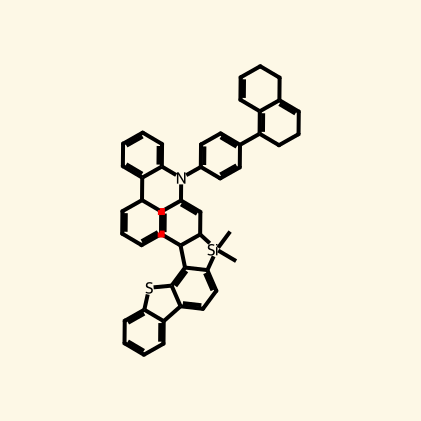 C[Si]1(C)c2ccc3c(sc4ccccc43)c2C2C=CC(N(c3ccc(C4=C5C=CCCC5=CCC4)cc3)c3ccccc3C3C=CC=CC3)=CC21